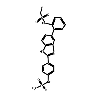 O=S(=O)(CF)Nc1ccccc1-c1ccc2[nH]c(-c3ccc(NS(=O)(=O)C(F)(F)F)cc3)nc2c1